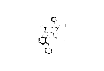 CCCC(CN(C(C)=O)c1cccs1)[S+]([O-])C(Oc1cccc(CN2CCCCC2)c1)C(N)=O